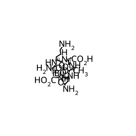 CC[C@H](C)[C@H](N)C(=O)N[C@@H](CCCCN)C(=O)N[C@@H](CC(=O)O)C(=O)N[C@@H](C)C(=O)N[C@@H](CC(N)=O)C(=O)NCC(=O)O